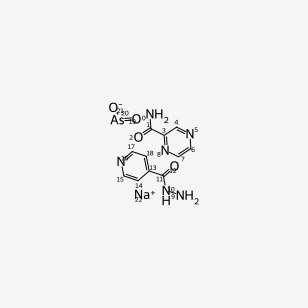 NC(=O)c1cnccn1.NNC(=O)c1ccncc1.O=[As][O-].[Na+]